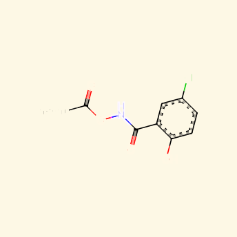 CCCCCC(=O)ONC(=O)c1cc(Cl)ccc1O